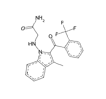 Cc1c(C(=O)c2ccccc2C(F)(F)F)n(NCC(N)=O)c2ccccc12